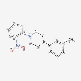 Cc1cccc(C2CCN(c3ccccc3[N+](=O)[O-])CC2)c1